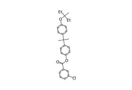 CCC(C)(CC)Oc1ccc(C(C)(C)c2ccc(OC(=O)c3cccc(Cl)c3)cc2)cc1